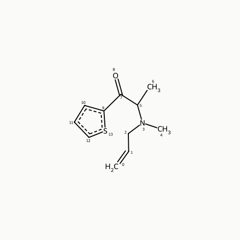 C=CCN(C)C(C)C(=O)c1cccs1